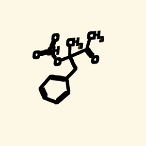 CC(=O)C(C)(Cc1ccccc1)O[SH](=O)=O